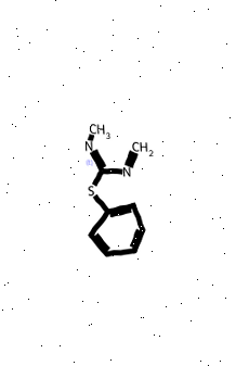 C=N/C(=N\C)Sc1ccccc1